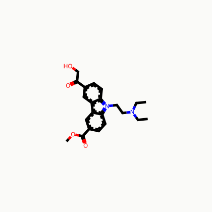 CCN(CC)CCn1c2ccc(C(=O)CO)cc2c2cc(C(=O)OC)ccc21